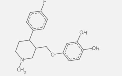 CN1CCC(c2ccc(F)cc2)C(COc2ccc(O)c(O)c2)C1